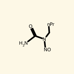 CCCCN(N=O)C(N)=O